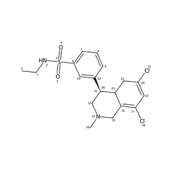 CCNS(=O)(=O)c1cccc([C@@H]2CN(C)CC3=C(Cl)C=C(Cl)CC32)c1